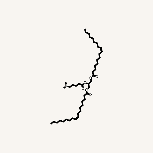 CCCCCCCC/C=C\CCCCCCCC(=O)OCC(COC(=O)CCCCCCC/C=C\CCCCCCCC)OC(=O)CCCCN(C)C